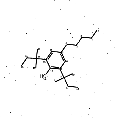 CCCCCc1cc(C(C)(C)CC)c(O)c(C(C)(C)CC)c1